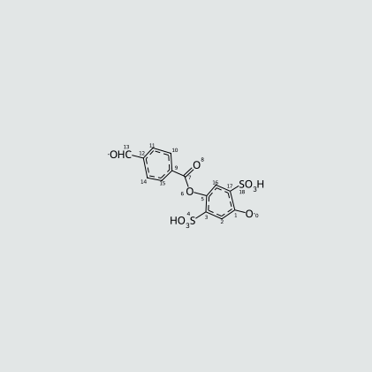 [O]c1cc(S(=O)(=O)O)c(OC(=O)c2ccc([C]=O)cc2)cc1S(=O)(=O)O